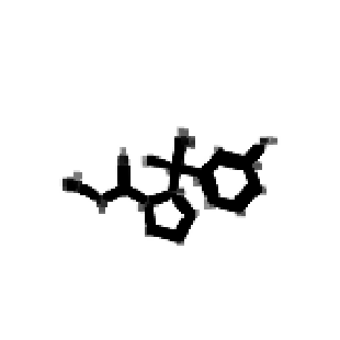 CC(C)(C)OC(=O)N1CCCN1[C@](C)(O)c1cccc(F)c1